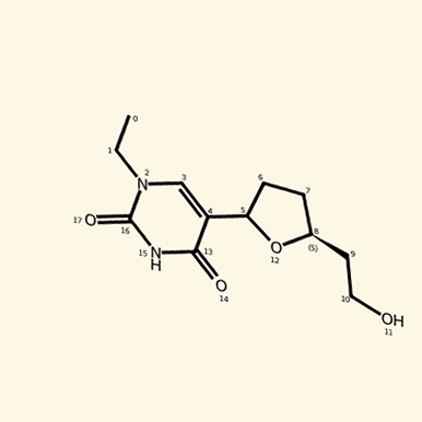 CCn1cc(C2CC[C@@H](CCO)O2)c(=O)[nH]c1=O